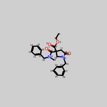 CCOC(=O)C1(C(=O)N(C)Cc2ccccc2)CC(=O)N(Cc2ccccc2)C1